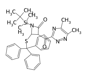 Cc1nnc(C(=O)C2C(=O)N([Si](C)(C)C(C)(C)C)C2SC(c2ccccc2)(c2ccccc2)c2ccccc2)nc1C